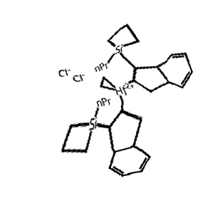 CCC[Si]1(C2C3C=CC=CC3C[CH]2[Hf+2]2([CH]3CC4C=CC=CC4C3[Si]3(CCC)CCC3)[CH2][CH2]2)CCC1.[Cl-].[Cl-]